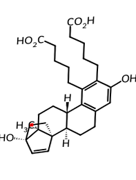 C[C@]12CC[C@@H]3c4c(cc(O)c(CCCCC(=O)O)c4CCCCC(=O)O)CC[C@H]3[C@@]13C=C[C@@]2(O)CC3